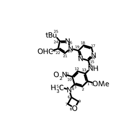 COc1cc(N(C)C2COC2)c([N+](=O)[O-])cc1Nc1nccc(-n2cc(C=O)c(C(C)(C)C)n2)n1